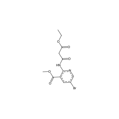 CCOC(=O)CC(=O)Nc1ncc(Br)cc1C(=O)OC